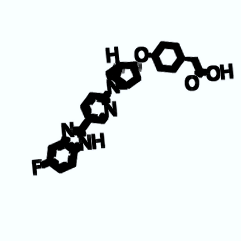 O=C(O)C[C@H]1CC[C@@H](O[C@@H]2CC3C[C@H]2CN3c2ccc(-c3nc4cc(F)ccc4[nH]3)cn2)CC1